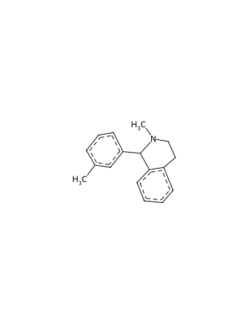 Cc1cccc(C2c3ccccc3CCN2C)c1